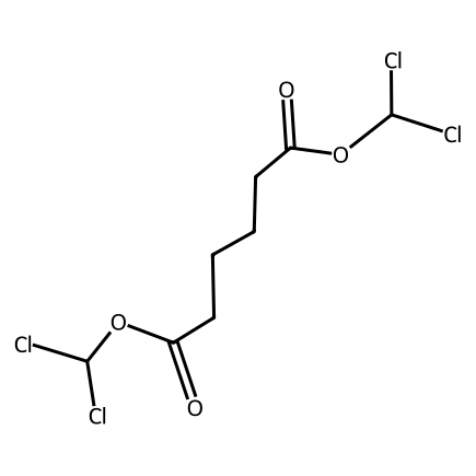 O=C(CCCCC(=O)OC(Cl)Cl)OC(Cl)Cl